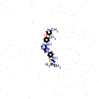 Cc1ccc(Oc2ccc(Nc3ncnc4cn(-c5ccc(NC(=O)CN(C)C)cc5)nc34)cc2C)cn1